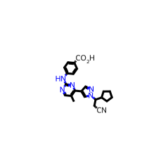 Cc1cnc(Nc2ccc(C(=O)O)cc2)nc1-c1cnn(C(CC#N)C2CCCC2)c1